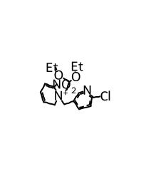 CCOC(C[N+]1(Cc2ccc(Cl)nc2)CC=CC=C1[N+](=O)[O-])OCC